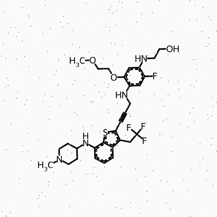 COCCOc1cc(NCCO)c(F)cc1NCC#Cc1sc2c(NC3CCN(C)CC3)cccc2c1CC(F)(F)F